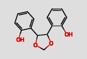 Oc1ccccc1C1OCOC1c1ccccc1O